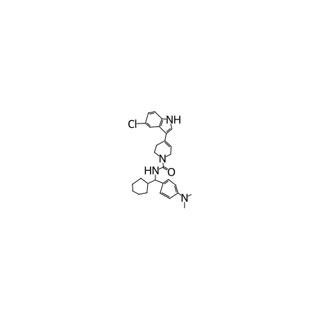 CN(C)c1ccc(C(NC(=O)N2CC=C(c3c[nH]c4ccc(Cl)cc34)CC2)C2CCCCC2)cc1